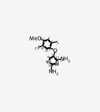 COc1cc(C)c(Oc2cnc(N)nc2N)cc1I